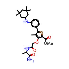 COC(=O)c1sc(-c2cccc(NC3CC(C)(C)CC(C)(C)C3)c2)c(C)c1OCC(=O)NC(C)C(N)=O